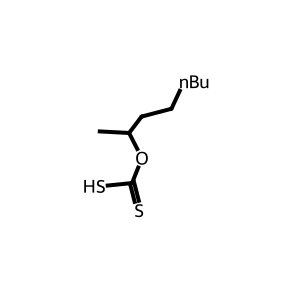 CCCCCCC(C)OC(=S)S